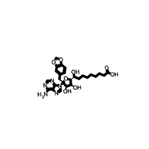 Nc1ncnc2c1ncn2[C@]1(Cc2ccc3c(c2)OCO3)O[C@H](C(O)CCCCCCCC(=O)O)[C@@H](O)[C@H]1O